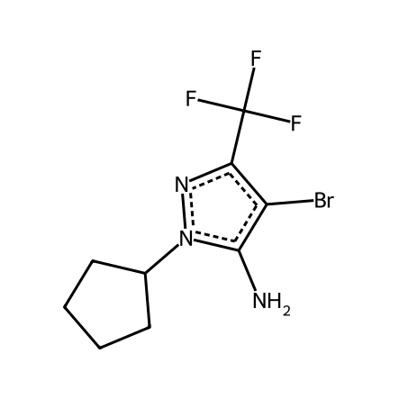 Nc1c(Br)c(C(F)(F)F)nn1C1CCCC1